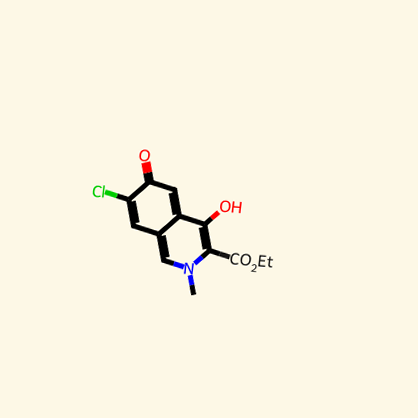 CCOC(=O)c1c(O)c2cc(=O)c(Cl)cc-2cn1C